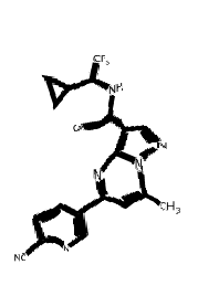 Cc1cc(-c2ccc(C#N)nc2)nc2c(C(=O)NC(C3CC3)C(F)(F)F)cnn12